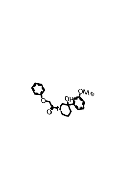 COc1cccc(C2(O)CCCN(C(=O)COc3ccccc3)C2)c1